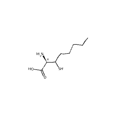 CCCCCC(S)[C@H](N)C(=O)O